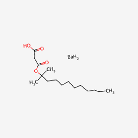 CCCCCCCCCCC(C)(C)OC(=O)CC(=O)O.[BaH2]